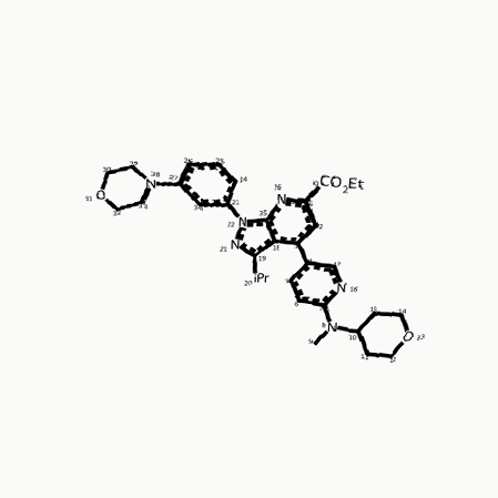 CCOC(=O)c1cc(-c2ccc(N(C)C3CCOCC3)nc2)c2c(C(C)C)nn(-c3cccc(N4CCOCC4)c3)c2n1